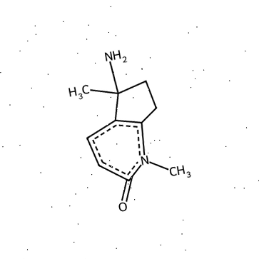 Cn1c2c(ccc1=O)C(C)(N)CC2